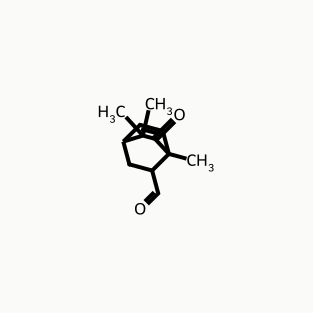 CC1(C)C(=O)C2(C)C=CC1CC2C=O